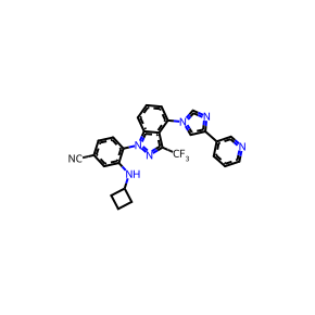 N#Cc1ccc(-n2nc(C(F)(F)F)c3c(-n4cnc(-c5cccnc5)c4)cccc32)c(NC2CCC2)c1